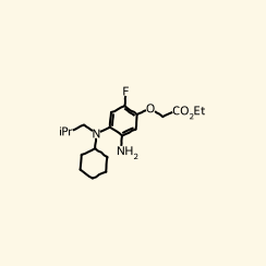 CCOC(=O)COc1cc(N)c(N(CC(C)C)C2CCCCC2)cc1F